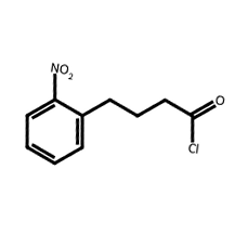 O=C(Cl)CCCc1ccccc1[N+](=O)[O-]